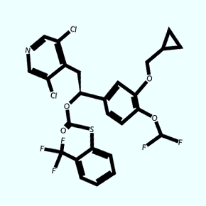 O=C(O[C@@H](Cc1c(Cl)cncc1Cl)c1ccc(OC(F)F)c(OCC2CC2)c1)Sc1ccccc1C(F)(F)F